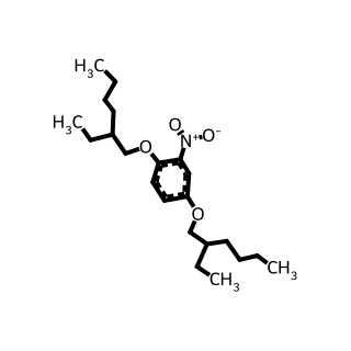 CCCCC(CC)COc1ccc(OCC(CC)CCCC)c([N+](=O)[O-])c1